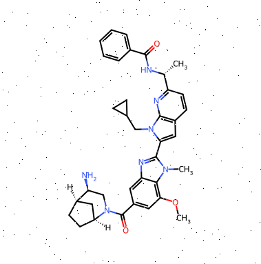 COc1cc(C(=O)N2C[C@H](N)[C@@H]3CC[C@H]2C3)cc2nc(-c3cc4ccc([C@@H](C)NC(=O)c5ccccc5)nc4n3CC3CC3)n(C)c12